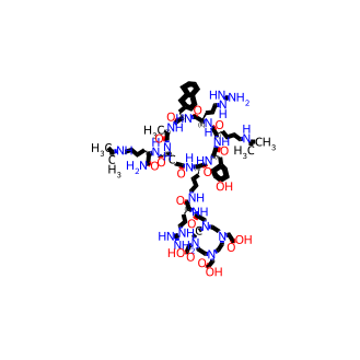 CC(C)NCCCC[C@H](NC(=O)[C@H]1CCC(=O)N[C@@H](CCCCNC(=O)[C@@H](CCCNC(=N)N)NC(=O)CN2CCN(CC(=O)O)CCN(CC(=O)O)CCN(CC(=O)O)CC2)C(=O)N[C@@H](Cc2ccc(O)cc2)C(=O)N[C@@H](CCCCNC(C)C)C(=O)N[C@H](CCCNC(=N)N)C(=O)N[C@@H](Cc2ccc3ccccc3c2)C(=O)N[C@H](C)C(=O)N1)C(N)=O